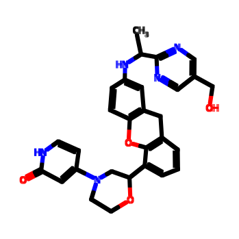 CC(Nc1ccc2c(c1)Cc1cccc(C3CN(c4cc[nH]c(=O)c4)CCO3)c1O2)c1ncc(CO)cn1